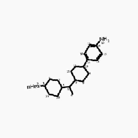 CCCCCCC1CCC(C(C)C2CCC(c3ccc(N)cc3)CC2)CC1